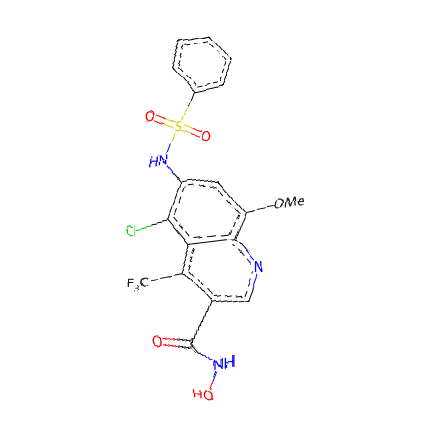 COc1cc(NS(=O)(=O)c2ccccc2)c(Cl)c2c(C(F)(F)F)c(C(=O)NO)cnc12